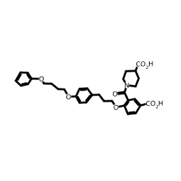 O=C(O)c1ccc(OCCCc2ccc(OCCCCOc3ccccc3)cc2)c(C(=O)N2CCC(C(=O)O)CC2)c1